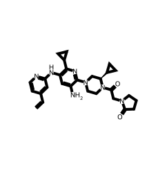 C=Cc1ccnc(Nc2cc(N)c(N3CCN(C(=O)CN4CCCC4=O)[C@H](C4CC4)C3)nc2C2CC2)c1